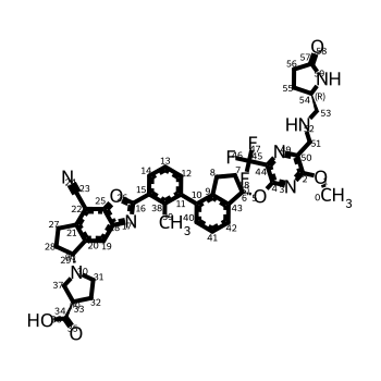 COc1nc(O[C@H]2CCc3c(-c4cccc(-c5nc6cc7c(c(C#N)c6o5)CC[C@H]7N5CC[C@@H](C(=O)O)C5)c4C)cccc32)c(C(F)(F)F)nc1CNC[C@H]1CCC(=O)N1